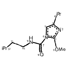 COc1nc(C(C)C)cn1C(=O)NCCC(C)C